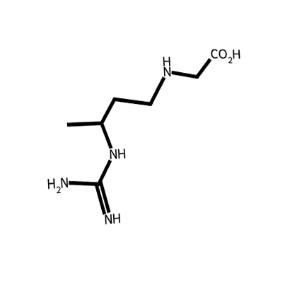 CC(CCNCC(=O)O)NC(=N)N